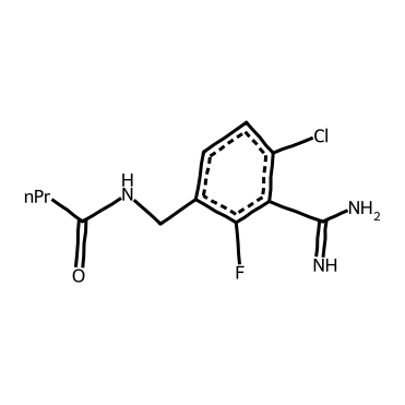 CCCC(=O)NCc1ccc(Cl)c(C(=N)N)c1F